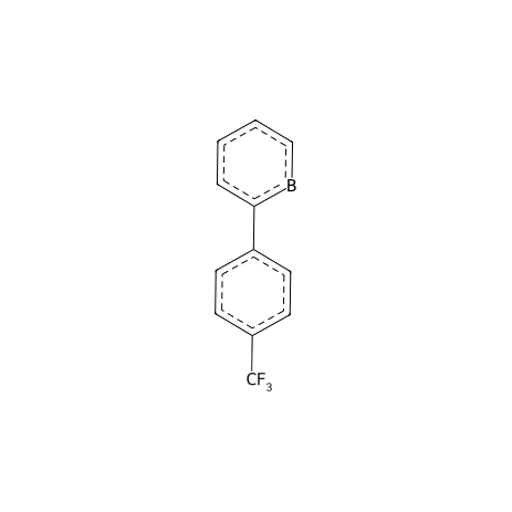 FC(F)(F)c1ccc(-c2bcccc2)cc1